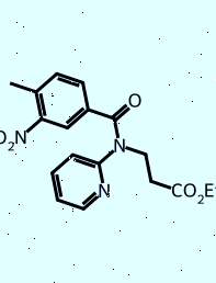 CCOC(=O)CCN(C(=O)c1ccc(C)c([N+](=O)[O-])c1)c1ccccn1